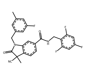 Cc1cc(F)cc(CN2C(=O)C(C)(C#N)c3ccc(C(=O)NCc4c(F)cc(F)cc4F)cc32)c1